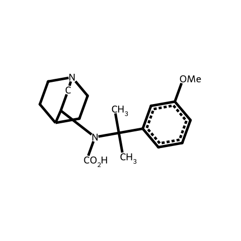 COc1cccc(C(C)(C)N(C(=O)O)C2CN3CCC2CC3)c1